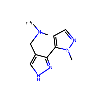 CCCN(C)Cc1c[nH]nc1-c1ccnn1C